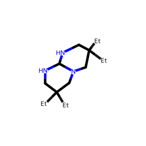 CCC1(CC)CNC2NCC(CC)(CC)CN2C1